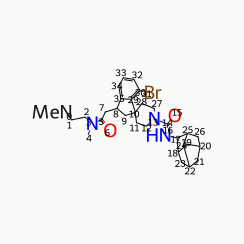 CNCCN(C)C(=O)CC1CC2(CCN(C(=O)NC3C4CC5CC(C4)CC3C5)CC2)c2c(Br)cccc21